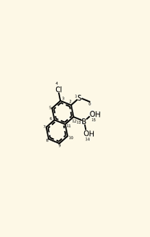 CSc1c(Cl)cc2ccccc2c1B(O)O